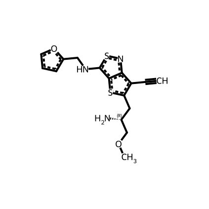 C#Cc1c(C[C@@H](N)COC)sc2c(NCc3ccco3)snc12